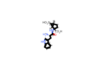 N[C@@H](Cc1c[nH]c2ccccc12)C(=O)N[C@@]1(C(=O)O)CC[C@H]2[C@H](C(=O)O)[C@H]21